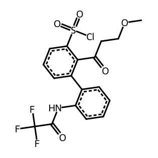 COCCC(=O)c1c(-c2ccccc2NC(=O)C(F)(F)F)cccc1S(=O)(=O)Cl